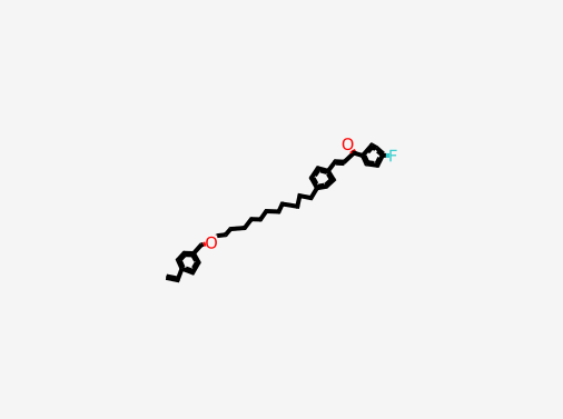 C=Cc1ccc(COCCCCCCCCCCCCc2ccc(/C=C/C(=O)c3ccc(F)cc3)cc2)cc1